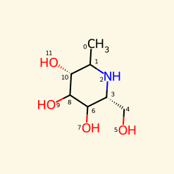 CC1N[C@H](CO)C(O)C(O)[C@@H]1O